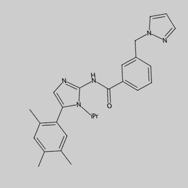 Cc1cc(C)c(-c2cnc(NC(=O)c3cccc(Cn4cccn4)c3)n2C(C)C)cc1C